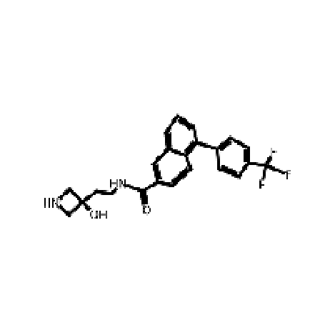 O=C(NCCC1(O)CNC1)c1ccc2c(-c3ccc(C(F)(F)F)cc3)cccc2c1